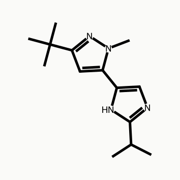 CC(C)c1ncc(-c2cc(C(C)(C)C)nn2C)[nH]1